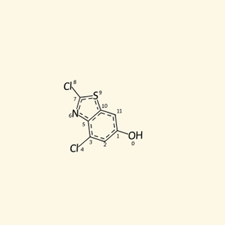 Oc1cc(Cl)c2nc(Cl)sc2c1